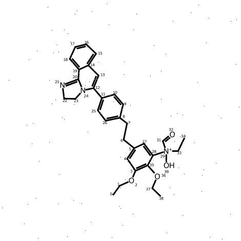 CCOc1cc(CCc2ccc(C3=Cc4ccccc4C4=NCCN34)cc2)cc([N+](O)(C=O)CC)c1OCC